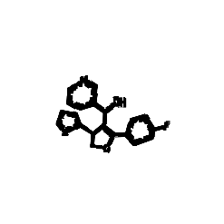 OC(C1=C(c2ccc(F)cc2)OCC1c1cccs1)c1cccnc1